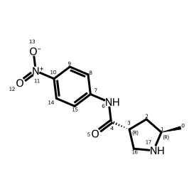 C[C@@H]1C[C@@H](C(=O)Nc2ccc([N+](=O)[O-])cc2)CN1